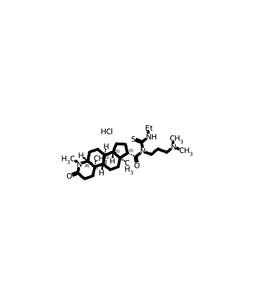 CCNC(=S)N(CCCN(C)C)C(=O)[C@H]1CC[C@H]2[C@@H]3CC[C@H]4N(C)C(=O)CC[C@]4(C)[C@H]3CC[C@]12C.Cl